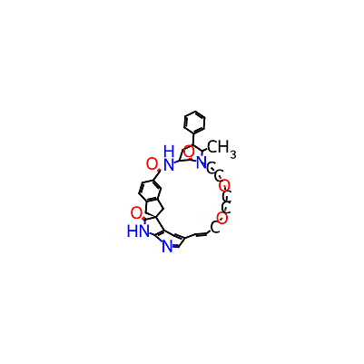 CC1C(c2ccccc2)CC2NC(=O)c3ccc4c(c3)C[C@@]3(C4)C(=O)Nc4ncc(cc43)/C=C/COCCOCCN1C2=O